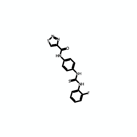 O=C(Nc1ccc(NC(=S)Nc2ccccc2F)cc1)c1csnn1